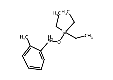 CC[Si](CC)(CC)O[SiH2]c1ccccc1C